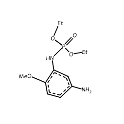 CCOP(=O)(Nc1cc(N)ccc1OC)OCC